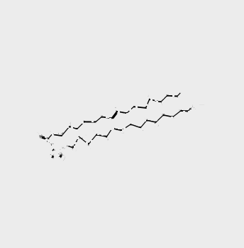 CCCCCCCCC=CCCCCCCCC=O.CCCCCCCCCCCCCCCCOS(=O)(=O)O